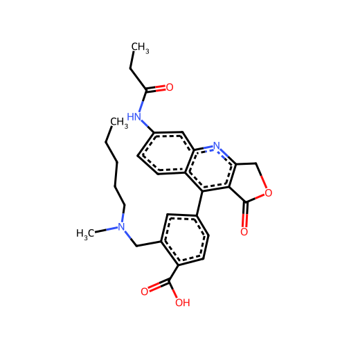 CCCCCN(C)Cc1cc(-c2c3c(nc4cc(NC(=O)CC)ccc24)COC3=O)ccc1C(=O)O